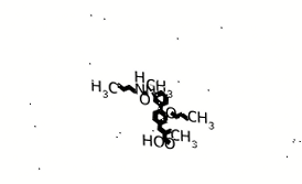 CCCCCNC(=O)N(C)c1cccc(-c2ccc(/C=C(\CC)C(=O)O)cc2OCCCC)c1